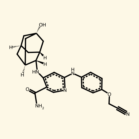 N#CCOc1ccc(Nc2cc(N[C@H]3[C@@H]4C[C@H]5C[C@H]3C[C@@](O)(C5)C4)c(C(N)=O)cn2)cc1